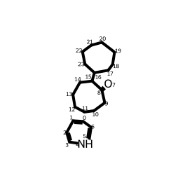 C1=CC=CNC=C1.O=C1CCCCCCC1C1CCCCCCC1